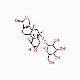 CC(C)[C@]12O[C@H]1[C@@H]1O[C@]13[C@]1(O[C@H]1C[C@H]1C4=C(CC[C@@]13C)C(=O)OC4)[C@@H]2O[C@@H]1OC(CO)[C@H](O)C(O)C1O